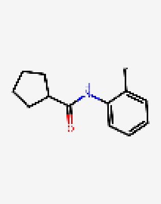 [CH2]c1ccccc1NC(=O)C1CCCC1